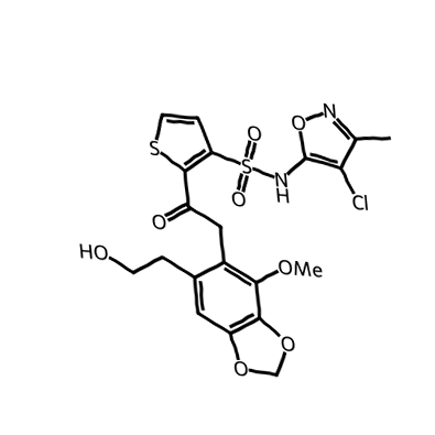 COc1c(CC(=O)c2sccc2S(=O)(=O)Nc2onc(C)c2Cl)c(CCO)cc2c1OCO2